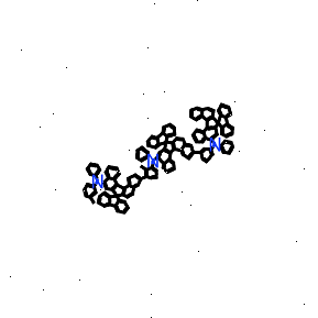 Cc1cccc(N(c2ccccc2)c2cc3c(c4ccccc24)-c2c(ccc4cc(-c5cccc(N(c6ccccc6)c6cc7c(c8ccccc68)-c6c(ccc8cc(-c9cccc(N(c%10ccccc%10)c%10cc%11c(c%12ccccc%10%12)-c%10c(ccc%12ccccc%10%12)C%11%10c%11ccccc%11-c%11ccccc%11%10)c9)ccc68)C76c7ccccc7-c7ccccc76)c5C)ccc24)C32c3ccccc3-c3ccccc32)c1